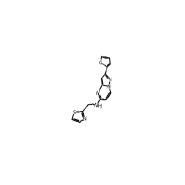 c1coc(-c2cc3nc(NCc4nccs4)ccn3n2)c1